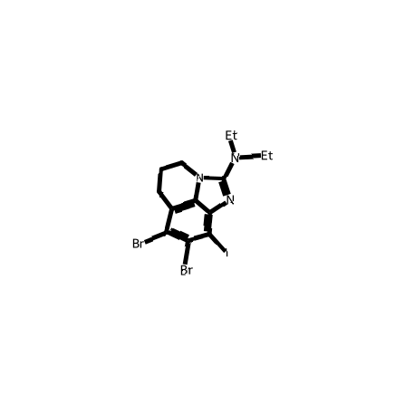 CCN(CC)c1nc2c(I)c(Br)c(Br)c3c2n1CCC3